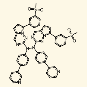 CS(=O)(=O)c1cccc(-c2ccc3cnc(N(c4ccc(-c5cccnc5)cc4)N(c4ccc(-c5cccnc5)cc4)c4ncc5ccc(-c6cccc(S(C)(=O)=O)c6)n5n4)nn23)c1